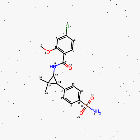 COc1cc(Cl)ccc1C(=O)NC1C(c2ccc(S(N)(=O)=O)cc2)C1(C)C